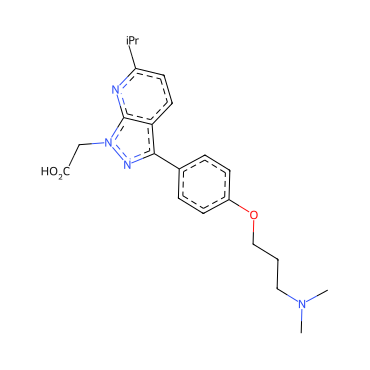 CC(C)c1ccc2c(-c3ccc(OCCCN(C)C)cc3)nn(CC(=O)O)c2n1